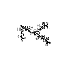 C=C(NCCOC(=O)C(=C)C)OCC(O)COCC(COC(=O)NCCOC(=O)C(=C)C)OC(=O)NCCOC(=O)C(=C)C